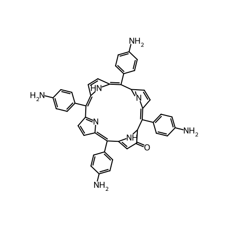 Nc1ccc(C2=C3C=CC(=N3)C(c3ccc(N)cc3)=c3ccc([nH]3)=C(c3ccc(N)cc3)C3=NC(=C(c4ccc(N)cc4)C4NC2=CC4=O)C=C3)cc1